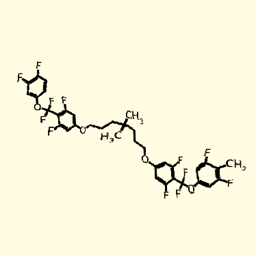 Cc1c(F)cc(OC(F)(F)c2c(F)cc(OCCCC(C)(C)CCCOc3cc(F)c(C(F)(F)Oc4ccc(F)c(F)c4)c(F)c3)cc2F)cc1F